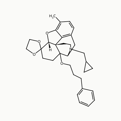 Cc1ccc2c3c1O[C@H]1C4(CCC5(OCCCc6ccccc6)C(C2)N(CC2CC2)CC[C@]315)OCCO4